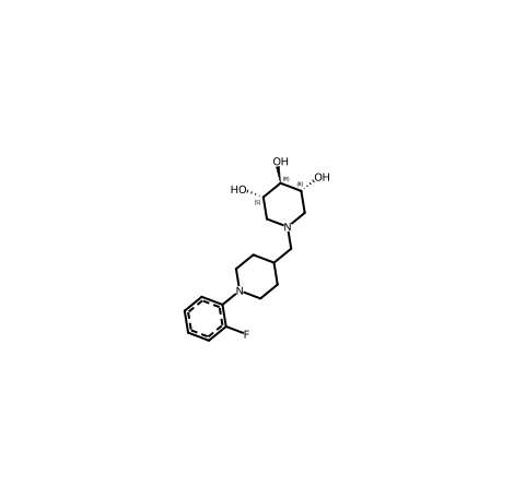 O[C@H]1[C@H](O)CN(CC2CCN(c3ccccc3F)CC2)C[C@@H]1O